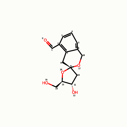 O=Cc1cccc2c1C[C@]1(C[C@H](O)[C@@H](CO)O1)OC2